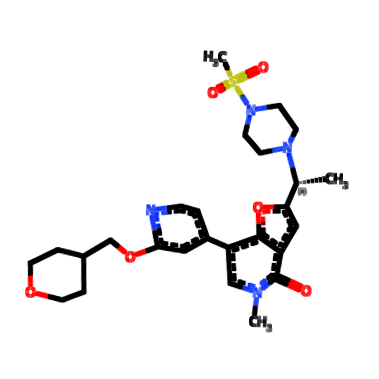 C[C@H](c1cc2c(=O)n(C)cc(-c3ccnc(OCC4CCOCC4)c3)c2o1)N1CCN(S(C)(=O)=O)CC1